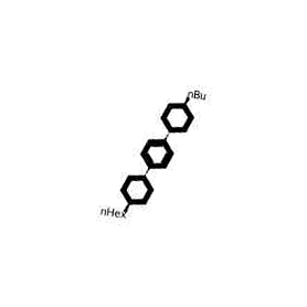 CCCCCC[C@H]1CC[C@H](c2ccc([C@H]3CC[C@H](CCCC)CC3)cc2)CC1